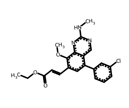 CCOC(=O)C=Cc1cc(-c2cccc(Cl)c2)c2cnc(NC)nc2c1OC